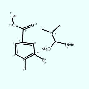 COC(OC)N(C)C.Cc1ccc(C(=O)OC(C)(C)C)cc1Br